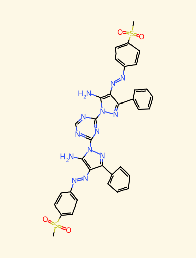 CS(=O)(=O)c1ccc(/N=N/c2c(-c3ccccc3)nn(-c3ncnc(-n4nc(-c5ccccc5)c(/N=N/c5ccc(S(C)(=O)=O)cc5)c4N)n3)c2N)cc1